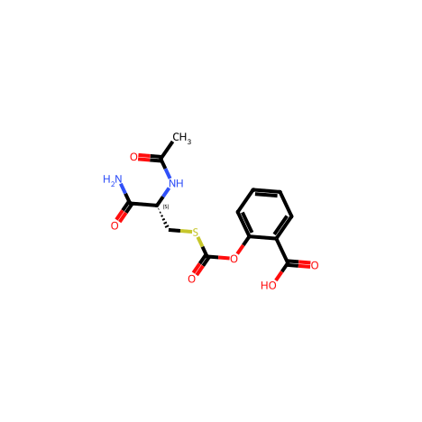 CC(=O)N[C@H](CSC(=O)Oc1ccccc1C(=O)O)C(N)=O